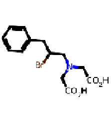 O=C(O)CN(CC(=O)O)CC(Br)Cc1ccccc1